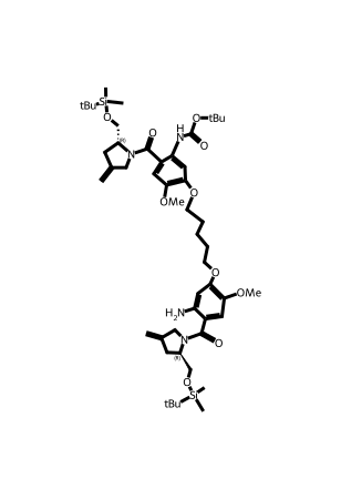 C=C1C[C@H](CO[Si](C)(C)C(C)(C)C)N(C(=O)c2cc(OC)c(OCCCCCOc3cc(NC(=O)OC(C)(C)C)c(C(=O)N4CC(=C)C[C@@H]4CO[Si](C)(C)C(C)(C)C)cc3OC)cc2N)C1